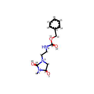 CN1C(=O)CN(CCNC(=O)OCc2ccccc2)C1=O